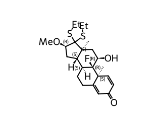 CCSC1(SCC)[C@H](OC)C[C@H]2[C@@H]3CCC4=CC(=O)C=C[C@]4(C)[C@@]3(F)[C@H](O)C[C@@]21C